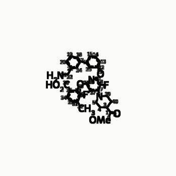 COC(=O)C1CCN(c2c(F)c(Oc3cccc(-c4cccc(CN)c4)c3)nc(Oc3cc(C)ccc3C(=O)O)c2F)CC1